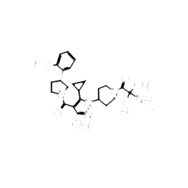 CC(C)(N)C(=O)N1CCC(n2ncc(C(=O)N3CC[C@@H](c4ccccc4C(F)(F)F)C3)c2C2CC2)CC1.Cl